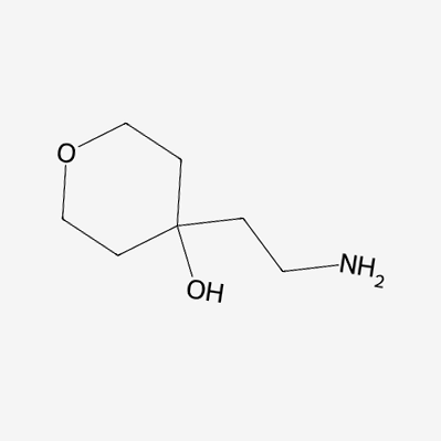 NCCC1(O)CCOCC1